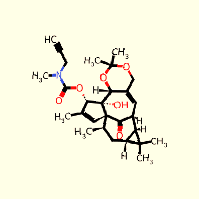 C#CCN(C)C(=O)O[C@H]1C(C)=C[C@]23C(=O)[C@@H](C=C4COC(C)(C)O[C@H]4[C@]12O)[C@H]1[C@@H](C[C@H]3C)C1(C)C